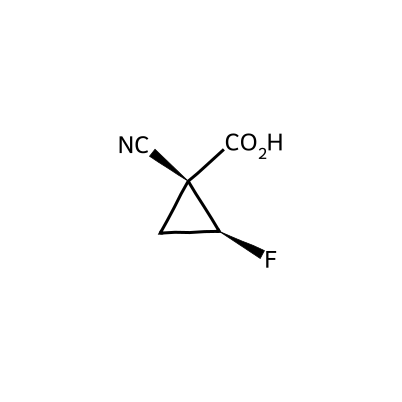 N#C[C@]1(C(=O)O)C[C@@H]1F